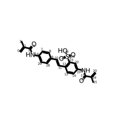 C=C(C)C(=O)Nc1ccc(C=Cc2ccc(NC(=O)C(=C)C)cc2S(=O)(=O)O)cc1